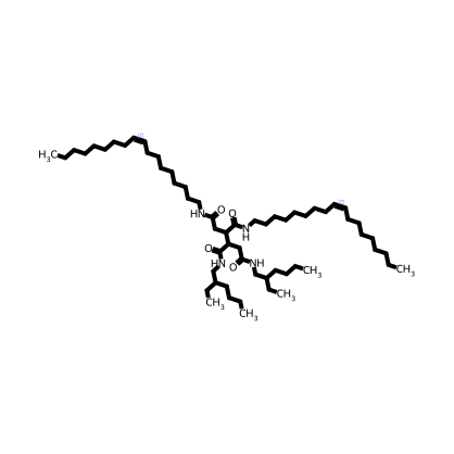 CCCCCCCC/C=C\CCCCCCCCNC(=O)CC(C(=O)NCCCCCCCC/C=C\CCCCCCCC)C(CC(=O)NCC(CC)CCCC)C(=O)NCC(CC)CCCC